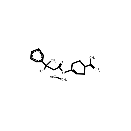 C=C(C)C1CC=C(OC(=O)CC(C)(C)c2ccccc2)CC1.COC(C)=O